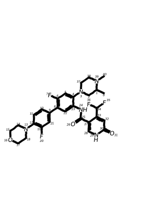 CC1CN(c2cc(F)c(-c3ccc(N4CCOCC4)c(F)c3)cc2NC(=O)c2c[nH]c(=O)cc2C(F)F)CCN1C